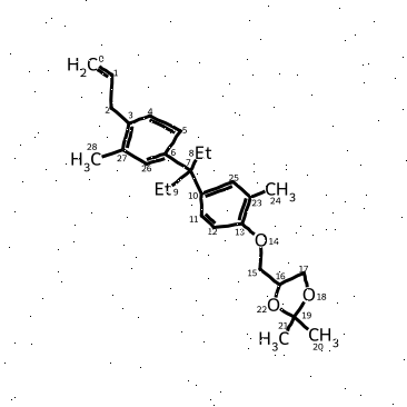 C=CCc1ccc(C(CC)(CC)c2ccc(OCC3COC(C)(C)O3)c(C)c2)cc1C